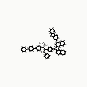 CNC(c1ccc(-c2ccc(-c3ccccc3)cc2)cc1)C(Nc1ccccc1)c1ccc(-n2c3ccc4ccccc4c3c3c4ccccc4c(-c4ccc5c(c4)oc4ccccc45)cc32)cc1